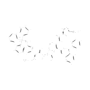 CON=C(C(=O)NC1C(=O)N2C(C(=O)OC(c3ccccc3)c3ccccc3)=C(C=C(S)c3nnc(NC(C)=O)s3)CSC12)c1csc(NC(c2ccccc2)(c2ccccc2)c2ccccc2)n1